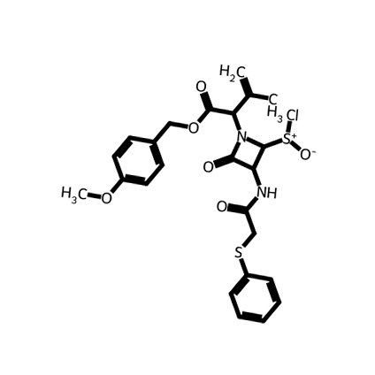 C=C(C)C(C(=O)OCc1ccc(OC)cc1)N1C(=O)C(NC(=O)CSc2ccccc2)C1[S+]([O-])Cl